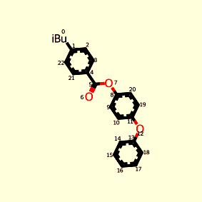 CCC(C)c1ccc(C(=O)Oc2ccc(Oc3ccccc3)cc2)cc1